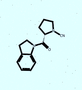 N#CN1CCC[C@H]1C(=O)N1CCc2ccccc21